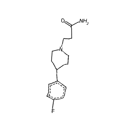 NC(=O)CCN1CCC(c2ccc(F)cc2)CC1